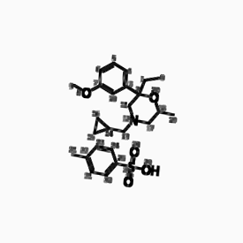 CCC1(c2cccc(OC)c2)CN(CC2CC2)CC(C)O1.Cc1ccc(S(=O)(=O)O)cc1